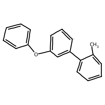 Cc1ccccc1-c1[c]ccc(Oc2ccccc2)c1